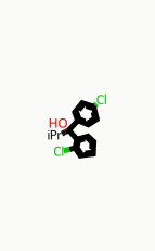 CC(C)C(O)(c1ccc(Cl)cc1)c1ccccc1Cl